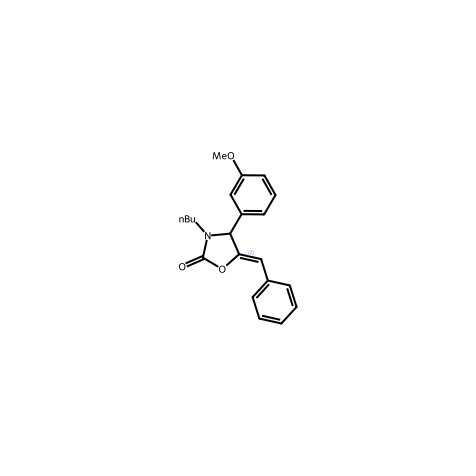 CCCCN1C(=O)O/C(=C\c2ccccc2)C1c1cccc(OC)c1